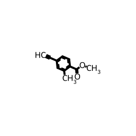 C#Cc1ccc(C(=O)OC)c(C)c1